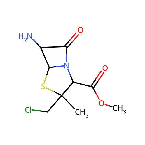 COC(=O)C1N2C(=O)C(N)C2SC1(C)CCl